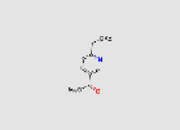 COC(=O)c1ccc(COC(C)=O)nc1